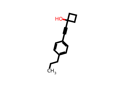 CCCc1ccc(C#CC2(O)CCC2)cc1